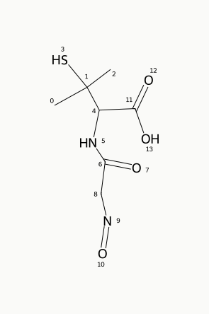 CC(C)(S)C(NC(=O)CN=O)C(=O)O